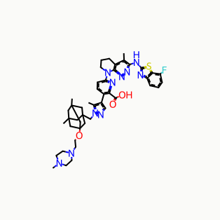 Cc1c(Nc2nc3cccc(F)c3s2)nnc2c1CCCN2c1ccc(-c2cnn(CC34CC5(C)CC(C)(C3)CC(OCCN3CCN(C)CC3)(C5)C4)c2C)c(C(=O)O)n1